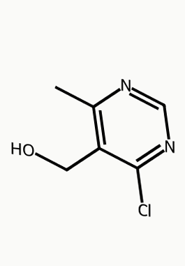 Cc1ncnc(Cl)c1CO